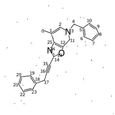 CC1=CN(Cc2ccccc2)Cc2oc(C#CCc3ccccc3)nc21